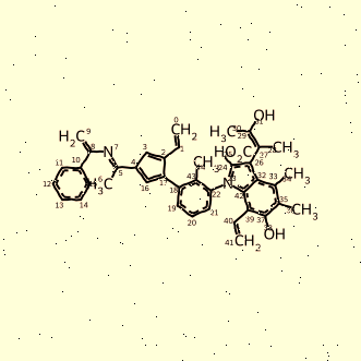 C=CC1=CC(/C(C)=N/C(=C)c2ccccc2)=C=C1c1cccc(-n2c(C(=O)O)c(/C(C)=C(\C)O)c3c(C)c(C)c(O)c(C=C)c32)c1C